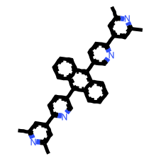 Cc1cc(-c2ccc(-c3c4ccccc4c(-c4ccc(-c5cc(C)nc(C)c5)nc4)c4ccccc34)cn2)cc(C)n1